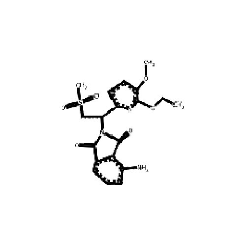 CCOc1nc(C(CS(C)(=O)=O)N2C(=O)c3cccc(N)c3C2=O)ccc1OC